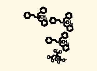 C[N+](CCc1ccccc1)(Cc1ccccc1)Cc1ccccc1.C[N+](CCc1ccccc1)(Cc1ccccc1)Cc1ccccc1.C[N+](CCc1ccccc1)(Cc1ccccc1)Cc1ccccc1.O=C([O-])CC(O)(CC(=O)[O-])C(=O)[O-]